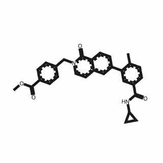 COC(=O)c1ccc(Cn2ccc3cc(-c4cc(C(=O)NC5CC5)ccc4C)ccc3c2=O)cc1